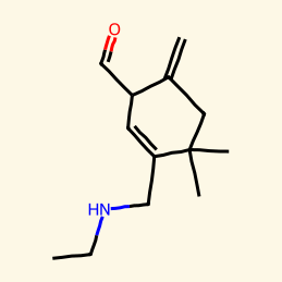 C=C1CC(C)(C)C(CNCC)=CC1C=O